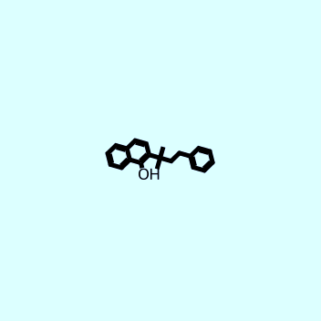 CC(C)(CCc1ccccc1)c1ccc2ccccc2c1O